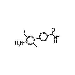 CCc1cc(-c2ccc(C(=O)NC)cc2)c(C)cc1N